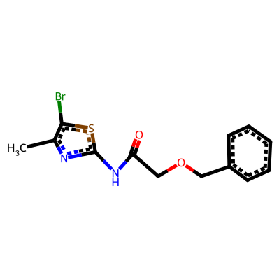 Cc1nc(NC(=O)COCc2ccccc2)sc1Br